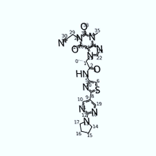 C[C@@H](C(=O)Nc1csc(-c2cnc(N3CCCC3)nc2)n1)n1cnc2c1c(=O)n(CC#N)c(=O)n2C